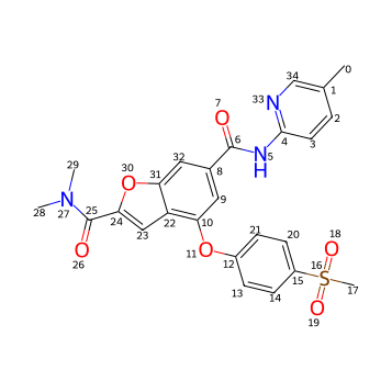 Cc1ccc(NC(=O)c2cc(Oc3ccc(S(C)(=O)=O)cc3)c3cc(C(=O)N(C)C)oc3c2)nc1